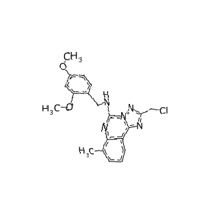 COc1ccc(CNc2nc3c(C)cccc3c3nc(CCl)nn23)c(OC)c1